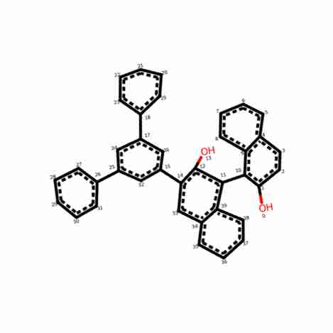 Oc1ccc2ccccc2c1-c1c(O)c(-c2cc(-c3ccccc3)cc(-c3ccccc3)c2)cc2ccccc12